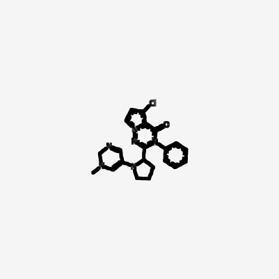 CN1C=C(N2CCCC2c2nn3ccc(Cl)c3c(=O)n2-c2ccccc2)C=NC1